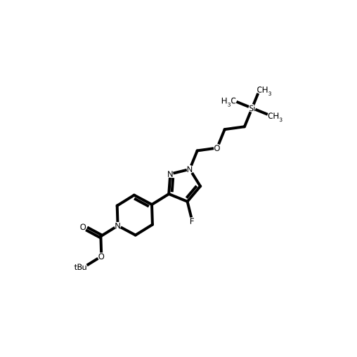 CC(C)(C)OC(=O)N1CC=C(c2nn(COCC[Si](C)(C)C)cc2F)CC1